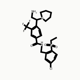 CCS(=O)(=O)c1ccc(Cl)cc1CNC(=O)c1ccc(C(CN)N2CCCCC2)c(C(F)(F)F)c1